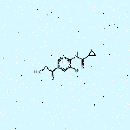 COC(=O)c1cnc(NC(=S)C2CC2)c(Br)c1